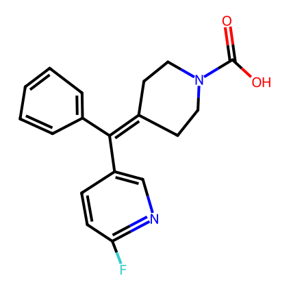 O=C(O)N1CCC(=C(c2ccccc2)c2ccc(F)nc2)CC1